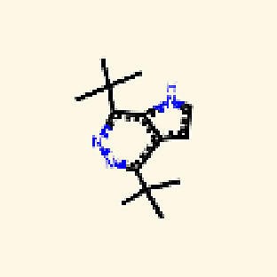 CC(C)(C)c1nnc(C(C)(C)C)c2[nH]ccc12